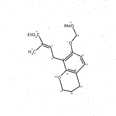 CCOC(=O)C(C)=CCc1c(OCOC)ccc2c1OCCC2